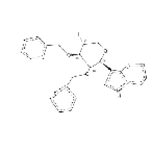 C[C@@H]1CO[C@@H](c2c[nH]c3ccccc23)[C@H](OCc2ccccc2)[C@H]1OCc1ccccc1